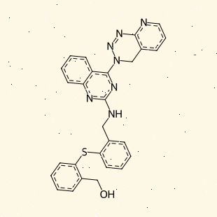 OCc1ccccc1Sc1ccccc1CNc1nc(N2Cc3cccnc3N=N2)c2ccccc2n1